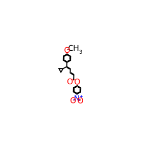 COc1ccc(C(=CC=CC(=O)Oc2ccc([N+](=O)[O-])cc2)C2CC2)cc1